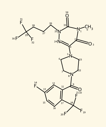 Cn1c(=O)c(N2CCN(C(=O)c3cc(F)ccc3C(F)(F)F)CC2)nn(CCCC(F)(F)F)c1=O